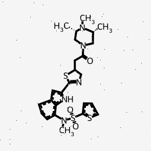 C[C@@H]1CN(C(=O)CC2CN=C(c3cc4cccc(N(C)S(=O)(=O)c5cccs5)c4[nH]3)S2)C[C@H](C)N1C